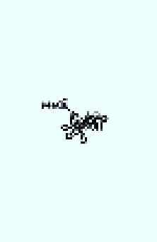 COC(=O)CCCCCCCCO[C@H]1O[C@@H]2COC(c3ccccc3)O[C@H]2[C@H](O)[C@H]1O[C@H]1O[C@H](COF)[C@@H](OCc2ccccc2)[C@H](OCc2ccccc2)[C@H]1OCc1ccccc1